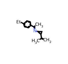 C=C(C)C1CC1/N=C(\C)c1ccc(CC)cc1